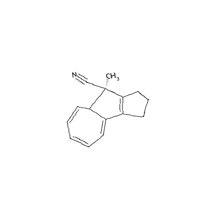 C[C@]1(C#N)C2=C(CCC2)C2=CC=CC=CC21